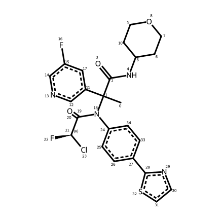 CC(C(=O)NC1CCOCC1)(c1cncc(F)c1)N(C(=O)[C@H](F)Cl)c1ccc(-c2nccs2)cc1